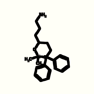 C[Si]1(C)OC(CCCN)CC[Si]1(c1ccccc1)c1ccccc1